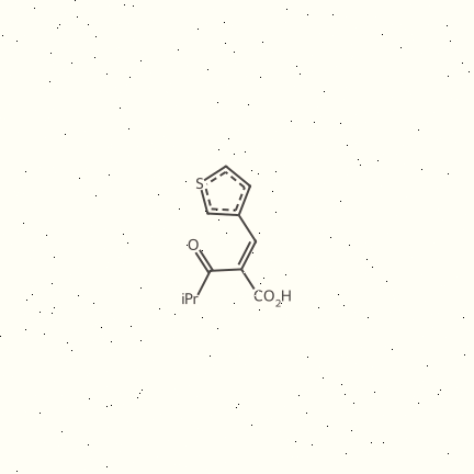 CC(C)C(=O)C(=Cc1ccsc1)C(=O)O